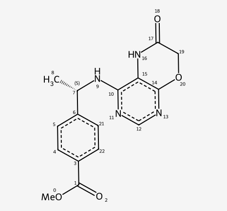 COC(=O)c1ccc([C@H](C)Nc2ncnc3c2NC(=O)CO3)cc1